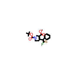 COC(=O)C1=C(c2c(F)sc3ccccc23)CCN(C(=O)OC(C)(C)C)C1